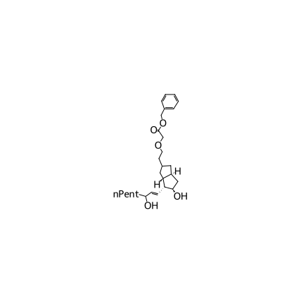 CCCCCC(O)C=C[C@@H]1[C@@H]2CC(CCOCC(=O)OCc3ccccc3)C[C@H]2C[C@H]1O